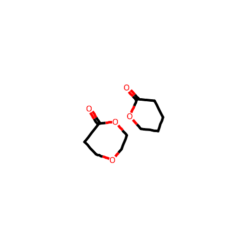 O=C1CCCCO1.O=C1CCOCCO1